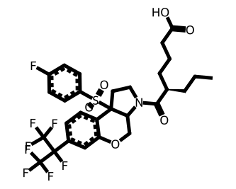 CCC[C@H](CCCC(=O)O)C(=O)N1CCC2(S(=O)(=O)c3ccc(F)cc3)c3ccc(C(F)(C(F)(F)F)C(F)(F)F)cc3OCC12